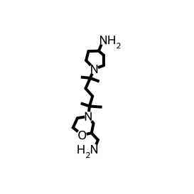 CC(C)(CCC(C)(C)N1CCOC(CN)C1)N1CCC(N)CC1